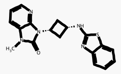 Cn1c(=O)n([C@H]2C[C@@H](Nc3nc4ccccc4s3)C2)c2ncccc21